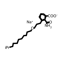 CC(C)CCCCCCCCCOCCCc1cccc(C(=O)[O-])c1C(N)=O.[Na+]